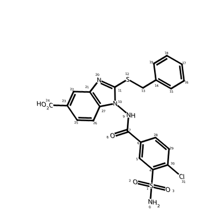 NS(=O)(=O)c1cc(C(=O)Nn2c(SCc3ccccc3)nc3cc(C(=O)O)ccc32)ccc1Cl